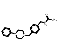 CC(=O)NCc1ccc(CN2CCN(c3ccccc3)CC2)cc1